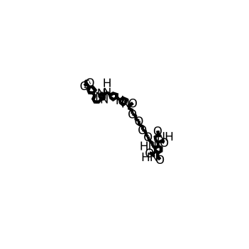 CS(=O)(=O)c1ccc(-c2cccc3nc(Nc4ccc(N5CCN(C(=O)CCOCCOCCOCCOCCNc6c(C7CCC(=O)NC7=O)ccc7c6C(=O)NC7=O)CC5)cc4)nn23)cc1